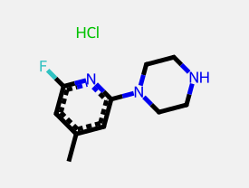 Cc1cc(F)nc(N2CCNCC2)c1.Cl